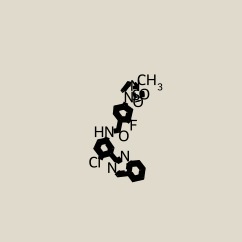 CN1CCN(c2ccc(C(=O)Nc3ccc(Cl)c(-c4ncc5ccccc5n4)c3)c(F)c2)S1(=O)=O